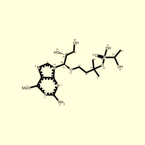 COc1nc(N)nc2c1ncn2[C@H](OCCC(C)(C)OP(=O)(O)C(C)O)[C@H](O)CO